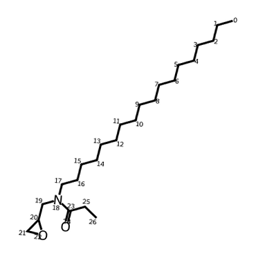 CCCCCCCCCCCCCCCCCCN(CC1CO1)C(=O)CC